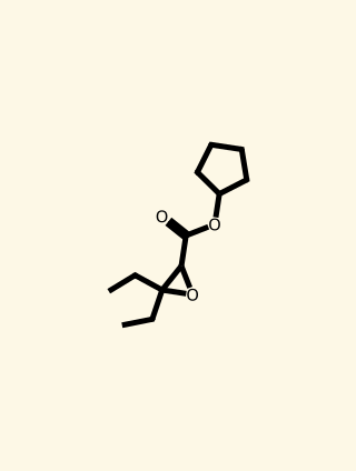 CCC1(CC)OC1C(=O)OC1CCCC1